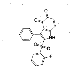 O=C1C=Cc2[nH]c(S(=O)(=O)c3ccccc3F)c(-c3ccccc3)c2C1=O